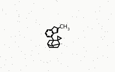 CC1=Cc2c(cccc2C23CC4C[C](CC(C4)C2)C32CC2)C1